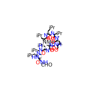 CN[C@@H](CC(C)C)C(=O)N(C)[C@@H](CCC(C)C)C(=O)N(C)C(C(=O)N(C)[C@@H](C[C@H](C)CCO)C(=O)NC(=O)N(C)[C@H](C)C(=O)N(C)[C@@H](CC(C)C)C(=O)NC(C(C)C)N(C)[C@@H](CC(C)C)N[C@H](C)C(=O)NC=O)C(C)C